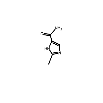 Cc1ncc(C(N)=O)[nH]1